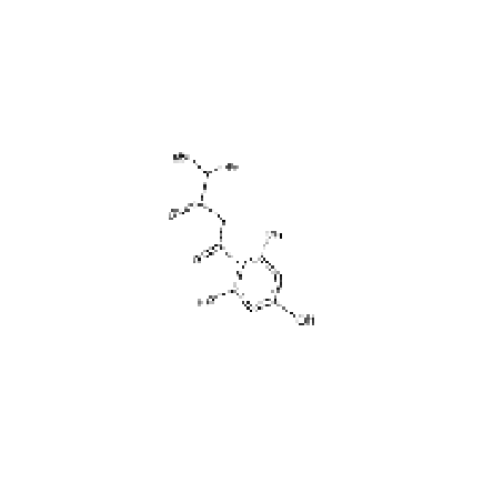 CCCCC(CC)C(=O)CC(=O)c1c(O)cc(O)cc1O